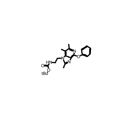 Cc1nc(Oc2ccccc2)c2nc(C)n(CCNC(=O)OC(C)(C)C)c2c1C